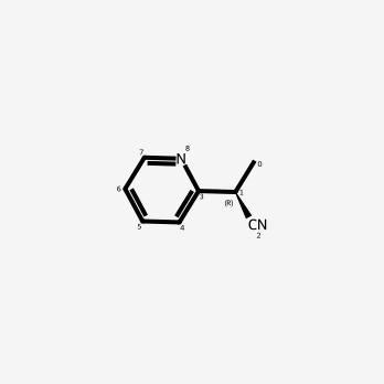 C[C@@H](C#N)c1ccccn1